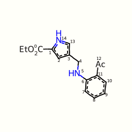 CCOC(=O)c1cc(CNc2ccccc2C(C)=O)c[nH]1